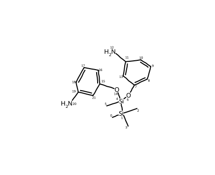 C[Si](C)(C)[Si](C)(Oc1cccc(N)c1)Oc1cccc(N)c1